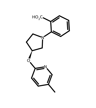 Cc1ccc(O[C@H]2CCN(c3ccccc3C(=O)O)C2)nc1